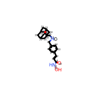 [11CH3]N(Cc1ccc(/C=C/C(=O)NO)cc1)CC12CC3CC(CC(C3)C1)C2